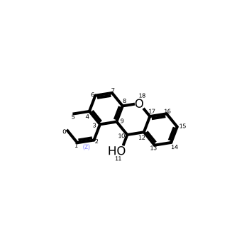 C/C=C\c1c(C)ccc2c1C(O)c1ccccc1O2